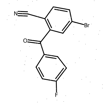 N#Cc1ccc(Br)cc1C(=O)c1ccc(F)cc1